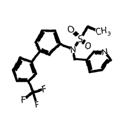 CCS(=O)(=O)N(Cc1cccnc1)c1cccc(-c2cccc(C(F)(F)F)c2)c1